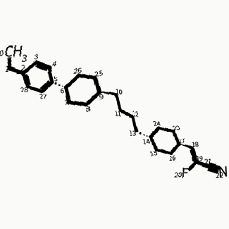 CCc1ccc([C@H]2CC[C@H](CCCC[C@H]3CC[C@H](C=C(F)C#N)CC3)CC2)cc1